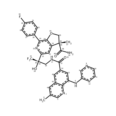 Cc1cnc2c(Nc3cnccn3)cc(C(=O)NC[C@](O)(c3cc4c(c(-c5ccc(F)cc5)n3)OC[C@]4(C)C(N)=O)C(F)(F)F)cc2c1